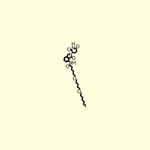 O=C1CCC(N2Cc3cccc(NC(=O)CCCCCOCCCCCOCCCCCCI)c3C2=O)C(=O)N1